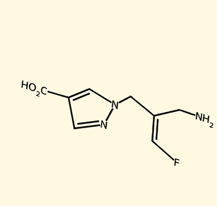 NCC(=CF)Cn1cc(C(=O)O)cn1